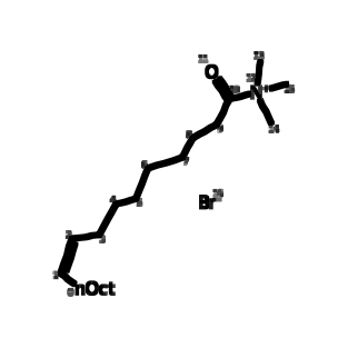 CCCCCCCC/C=C\CCCCCCCC(=O)[N+](C)(C)C.[Br-]